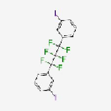 FC(F)(c1cccc(I)c1)C(F)(F)C(F)(F)c1cccc(I)c1